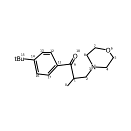 CC(CN1CCOCC1)C(=O)c1ccc(C(C)(C)C)cc1